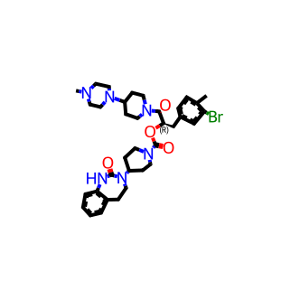 Cc1ccc(C[C@@H](OC(=O)N2CCC(N3CCc4ccccc4NC3=O)CC2)C(=O)N2CCC(N3CCN(C)CC3)CC2)cc1Br